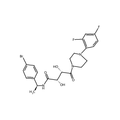 C[C@H](NC(=O)[C@@H](O)[C@H](O)C(=O)N1CCN(c2ccc(F)cc2F)CC1)c1ccc(Br)cc1